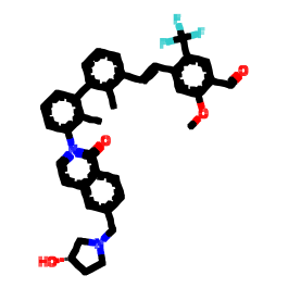 COc1cc(/C=C/c2cccc(-c3cccc(-n4ccc5cc(CN6CC[C@H](O)C6)ccc5c4=O)c3C)c2C)c(C(F)(F)F)cc1C=O